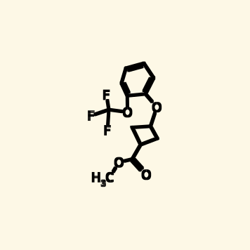 COC(=O)C1CC(Oc2ccccc2OC(F)(F)F)C1